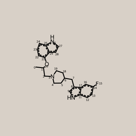 CC(CN1CCC(Cc2c[nH]c3ccc(F)cc23)CC1)Oc1cccc2[nH]ccc12